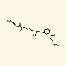 CC#CCNC(=O)COCCOC(COc1cccc(C(=O)NCCNC)c1)SSC(C)(C)C